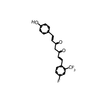 O=C(/C=C/c1ccc(O)cc1)CC(=O)/C=C/c1ccc(F)cc1C(F)(F)F